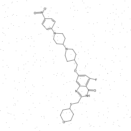 O=c1[nH]c(CSC2CCOCC2)nc2cc(OCC3CCN(C4CCN(c5ccc([N+](=O)[O-])cc5)CC4)CC3)cc(F)c12